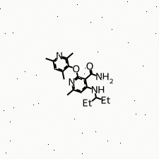 CCC(CC)Nc1cc(C)nc(Oc2c(C)cc(C)nc2C)c1C(N)=O